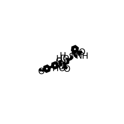 COc1ccc(-c2ccc(S(=O)(=O)NC(CC(O)CSN3CNC(=O)c4ccccc43)C(=O)O)cc2)cc1